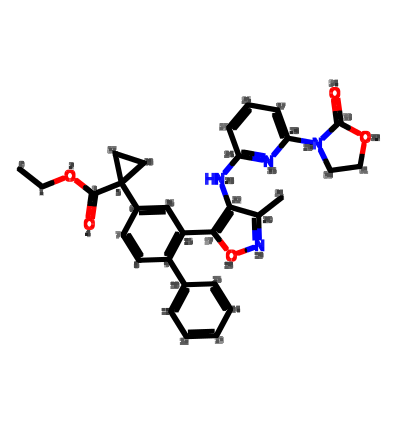 CCOC(=O)C1(c2ccc(-c3ccccc3)c(-c3onc(C)c3Nc3cccc(N4CCOC4=O)n3)c2)CC1